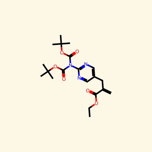 C=C(Cc1cnc(N(C(=O)OC(C)(C)C)C(=O)OC(C)(C)C)nc1)C(=O)OCC